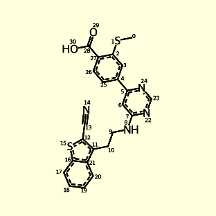 CSc1cc(-c2cc(NCCc3c(C#N)sc4ccccc34)ncn2)ccc1C(=O)O